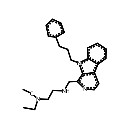 CCN(CC)CCNCc1nccc2c3ccccc3n(CCCc3ccccc3)c12